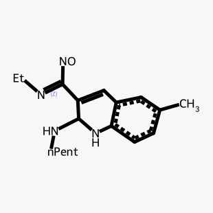 CCCCCNC1Nc2ccc(C)cc2C=C1/C(N=O)=N/CC